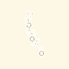 O=C(NS(=O)(=O)c1ccc(Cl)c(C(=O)NCCOc2ccccc2)c1)c1ccc(C(=O)OC2CCCCC2)nc1